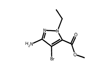 CCn1nc(N)c(Br)c1C(=O)OC